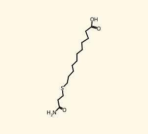 NC(=O)CCSCCCCCCCCCCC(=O)O